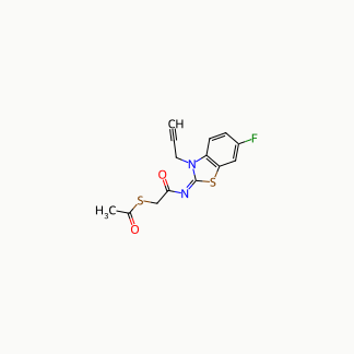 C#CCn1c(=NC(=O)CSC(C)=O)sc2cc(F)ccc21